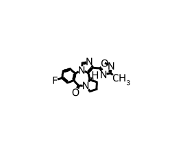 Cc1noc(-c2ncn3c2[C@H]2CCCN2C(=O)c2cc(F)ccc2-3)n1